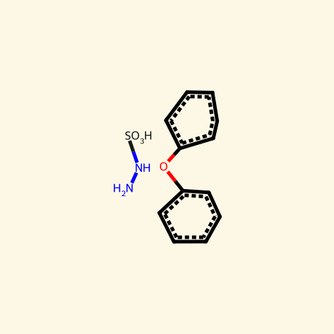 NNS(=O)(=O)O.c1ccc(Oc2ccccc2)cc1